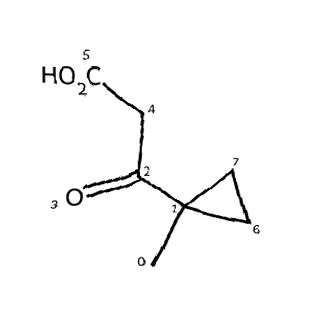 CC1(C(=O)CC(=O)O)CC1